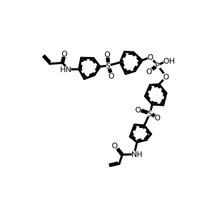 C=CC(=O)Nc1ccc(S(=O)(=O)c2ccc(OP(=O)(O)Oc3ccc(S(=O)(=O)c4ccc(NC(=O)C=C)cc4)cc3)cc2)cc1